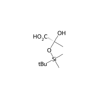 CC(C)(C)[Si](C)(C)O[C@](C)(O)C(=O)O